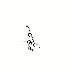 CCC(CCCc1cccc(/C=C/CC2C=C2)c1)C(CC)SC